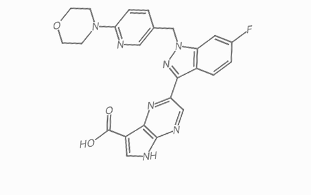 O=C(O)c1c[nH]c2ncc(-c3nn(Cc4ccc(N5CCOCC5)nc4)c4cc(F)ccc34)nc12